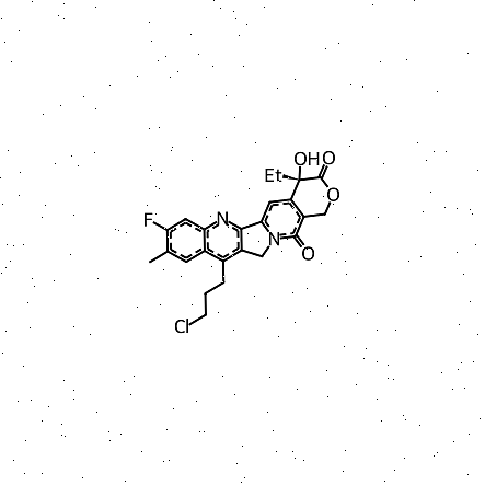 CC[C@@]1(O)C(=O)OCc2c1cc1n(c2=O)Cc2c-1nc1cc(F)c(C)cc1c2CCCCl